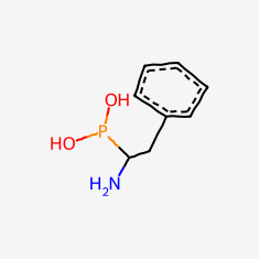 NC(Cc1ccccc1)P(O)O